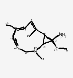 COC1(N)C2/C(C)=C/C=C(C)/C=N\CN(C)C21